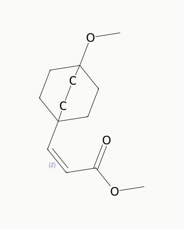 COC(=O)/C=C\C12CCC(OC)(CC1)CC2